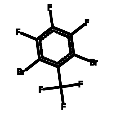 Fc1c(F)c(Br)c(C(F)(F)F)c(Br)c1F